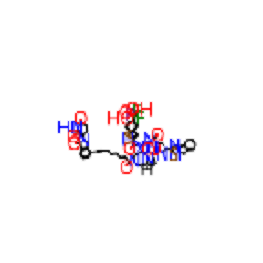 NC(=O)CC[C@H](NC(=O)[C@@H]1CC[C@@H]2CCN(C(=O)CCCCCC#Cc3cccc4c3CN(C3CCC(=O)NC3=O)C4=O)C[C@H](NC(=O)c3cc4cc(C(F)(F)P(=O)(O)O)ccc4s3)C(=O)N21)c1nc2c(s1)=CC1=CC=CCC=21